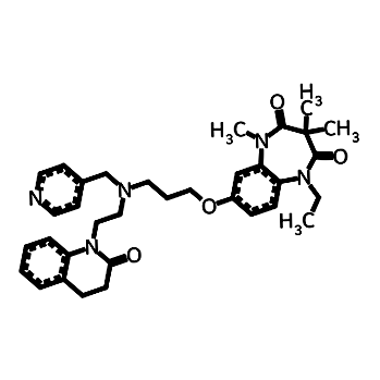 CCN1C(=O)C(C)(C)C(=O)N(C)c2cc(OCCCN(CCN3C(=O)CCc4ccccc43)Cc3ccncc3)ccc21